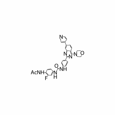 CC(=O)Nc1ccc(NC(=O)Nc2ccc(-c3nc(N4CCOCC4)c4ccc(-c5ccncc5)cc4n3)cc2)cc1F